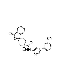 N#Cc1cccc(-n2cnc(NC(=O)C3(O)CCC4(CC3)OC(=O)c3ccccc34)c2)c1